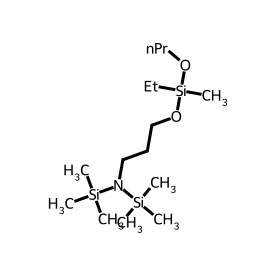 CCCO[Si](C)(CC)OCCCN([Si](C)(C)C)[Si](C)(C)C